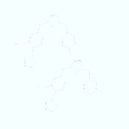 COc1cc(Nc2ccn(Cc3cc(F)c(F)c(F)c3)n2)ccc1-n1cnc(C)c1.COc1cc(Nc2ncn(Cc3cccc(Cl)c3)n2)ccc1-n1cnc(C)c1